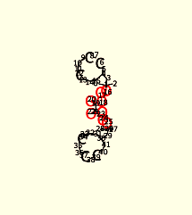 CC(C)(CC1CCCCCCCCCCC1)OOOC(=O)C(=O)OOOC(C)(C)CC1CCCCCCCCCCC1